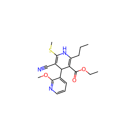 CCCC1=C(C(=O)OCC)C(c2cccnc2OC)C(C#N)=C(SC)N1